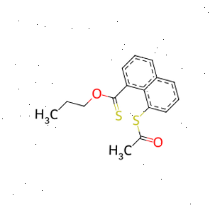 CCCOC(=S)c1cccc2cccc(SC(C)=O)c12